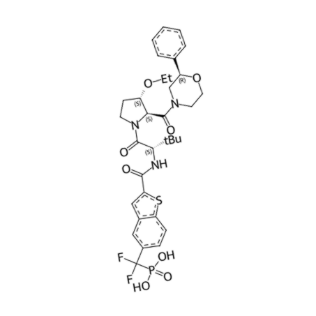 CCO[C@H]1CCN(C(=O)[C@@H](NC(=O)c2cc3cc(C(F)(F)P(=O)(O)O)ccc3s2)C(C)(C)C)[C@@H]1C(=O)N1CCO[C@H](c2ccccc2)C1